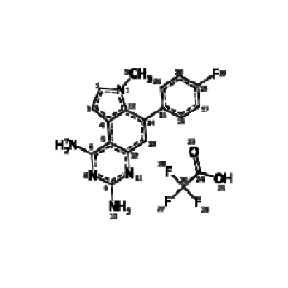 Cn1ccc2c3c(N)nc(N)nc3cc(-c3ccc(F)cc3)c21.O=C(O)C(F)(F)F